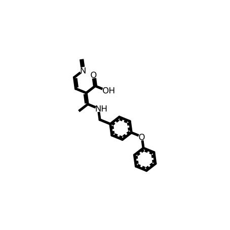 C=N/C=C\C(C(=O)O)=C(/C)NCc1ccc(Oc2ccccc2)cc1